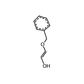 OC=[C]OCc1ccccc1